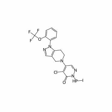 O=c1c(Cl)c(N2CCc3c(cnn3-c3ccccc3OC(F)(F)F)C2)cnn1PI